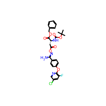 CC(C)(C)OC(=O)N[C@H](CC(=O)O/N=C(\N)c1ccc(Oc2ncc(Cl)cc2F)cc1)C(=O)OCc1ccccc1